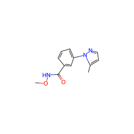 CONC(=O)c1cccc(-n2nccc2C)c1